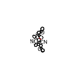 N#CC1=C(n2c3ccccc3c3c4oc5ccccc5c4ccc32)C(C#N)=C(c2ccccc2-n2c3c(c4c5oc6ccccc6c5ccc42)C=CCC#C3)CC1